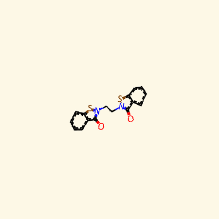 O=c1c2ccccc2sn1CCn1sc2ccccc2c1=O